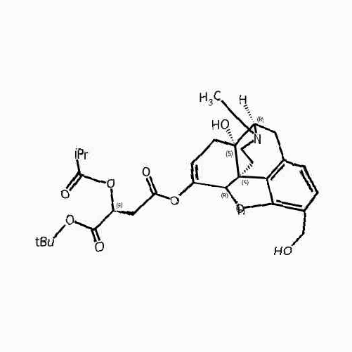 CC(C)C(=O)O[C@@H](CC(=O)OC1=CC[C@@]2(O)[C@H]3Cc4ccc(CO)c5c4[C@@]2(CCN3C)[C@H]1O5)C(=O)OC(C)(C)C